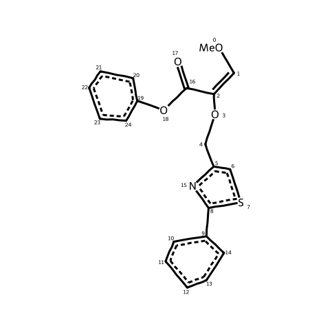 COC=C(OCc1csc(-c2ccccc2)n1)C(=O)Oc1ccccc1